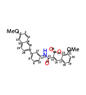 COc1ccc2cc(-c3cccc(NC(=O)c4cc5cccc(OC)c5oc4=O)c3)ccc2c1